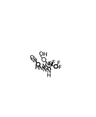 O=C(c1ccc(F)c(F)c1F)c1c[nH]c2nc(Nc3ccc(N4CCOCC4)cc3)nc(NC3CCC(CO)CC3)c12